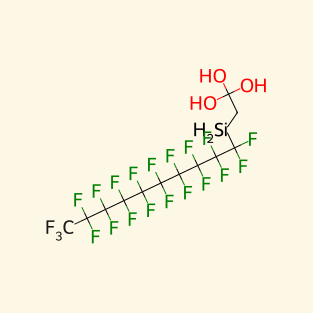 OC(O)(O)C[SiH2]C(F)(F)C(F)(F)C(F)(F)C(F)(F)C(F)(F)C(F)(F)C(F)(F)C(F)(F)C(F)(F)C(F)(F)F